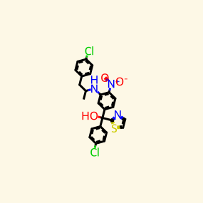 CC(Cc1ccc(Cl)cc1)Nc1cc(C(O)(c2ccc(Cl)cc2)c2nccs2)ccc1[N+](=O)[O-]